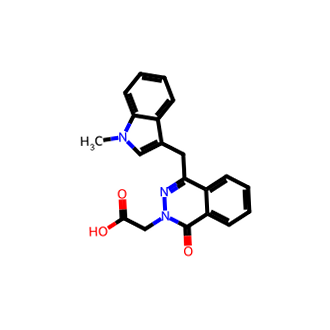 Cn1cc(Cc2nn(CC(=O)O)c(=O)c3ccccc23)c2ccccc21